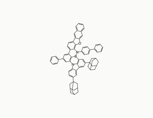 c1ccc(-c2ccc(N3B4c5c(cc(-c6ccccc6)cc5-n5c6ccc(C78CC9CC(CC(C9)C7)C8)cc6c6cc(C78CC9CC(CC(C9)C7)C8)cc4c65)-c4ccc5c(oc6cc7ccccc7cc65)c43)cc2)cc1